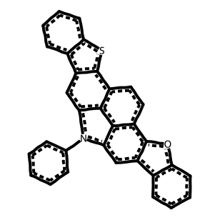 c1ccc(-n2c3cc4c5ccccc5oc4c4ccc5c6sc7ccccc7c6cc2c5c43)cc1